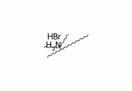 Br.CCCCCCCCCCCCCCC(CCCCCCC)C(N)(CCCCCCC)CCCCCCC